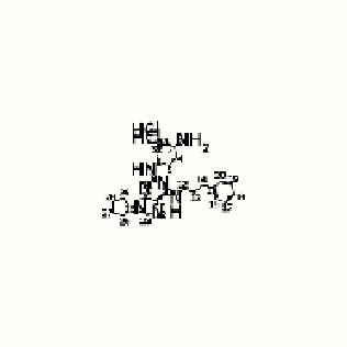 Cl.Cl.N[C@H]1CC[C@H](Nc2nc(NCCCc3ccccc3)c3ncn(C4CCCC4)c3n2)CC1